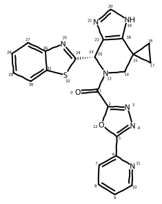 O=C(c1nnc(-c2ccccn2)o1)N1CC2(CC2)c2[nH]cnc2[C@H]1c1nc2ccccc2s1